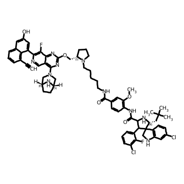 C#Cc1cccc2cc(O)cc(-c3ncc4c(N5C[C@H]6CC[C@@H](C5)N6)nc(OC[C@@H]5CCCN5CCCCCNC(=O)c5ccc(NC(=O)C6N[C@H](CC(C)(C)C)C7(CNc8cc(Cl)ccc87)C6c6cccc(Cl)c6F)c(OC)c5)nc4c3F)c12